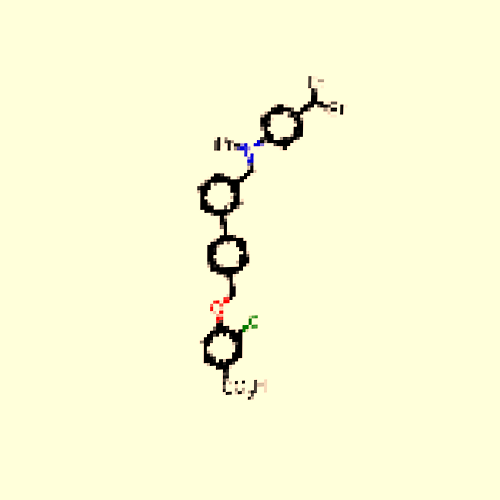 CCC(CC)c1ccc(N(Cc2cccc(-c3ccc(COc4ccc(C(=O)O)cc4Cl)cc3)c2)C(C)C)cc1